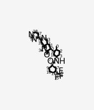 Cc1ccc(NC(=O)c2cccc(C(F)(F)F)c2)cc1-c1cc2cnc(-c3ccncn3)cc2n(C)c1=O